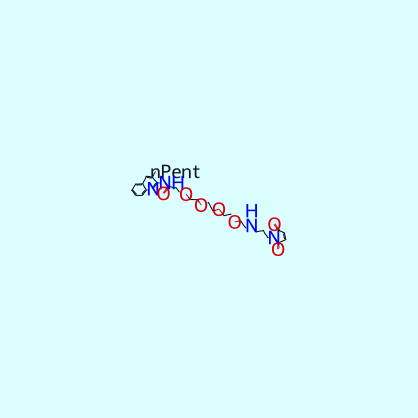 CCCCCc1cc2ccccc2nc1NC(=O)CCOCCOCCOCCOCCNCCCN1C(=O)C=CC1=O